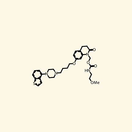 COCCNC(=O)OCN1C(=O)CCc2ccc(OCCCCN3CCN(c4cccc5sccc45)CC3)cc21